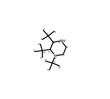 CC(C)(C)C1NCCN(C(C)(C)C)C1C(C)(C)C